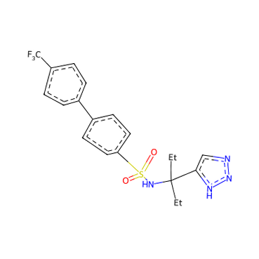 CCC(CC)(NS(=O)(=O)c1ccc(-c2ccc(C(F)(F)F)cc2)cc1)c1cnn[nH]1